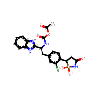 O=C1CC(c2ccc(C[C@H](NC(=O)OC(=O)C(F)(F)F)c3nc4ccccc4[nH]3)cc2Br)S(O)(O)N1